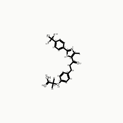 Cc1nc(-c2ccc(C(F)(F)F)cc2)sc1C(=O)CCc1ccc(OC(C)(C)C(=O)O)cc1